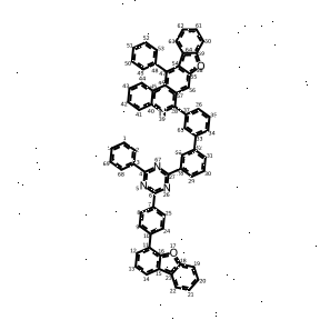 c1ccc(-c2nc(-c3ccc(-c4cccc5c4oc4ccccc45)cc3)nc(-c3cccc(-c4cccc(-c5nc6ccccc6c6c(-c7ccccc7)c7c(cc56)oc5ccccc57)c4)c3)n2)cc1